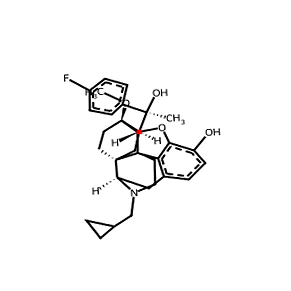 CO[C@]12CC[C@@]3(C[C@@H]1[C@](C)(O)c1ccc(F)cc1)[C@H]1Cc4ccc(O)c5c4[C@@]3(CCN1CC1CC1)[C@H]2O5